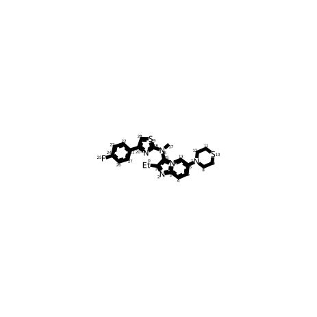 CCc1nc2ccc(N3CCSCC3)cn2c1N(C)c1nc(-c2ccc(F)cc2)cs1